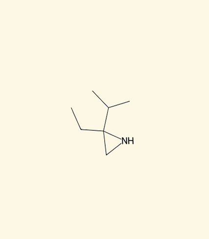 CCC1(C(C)C)CN1